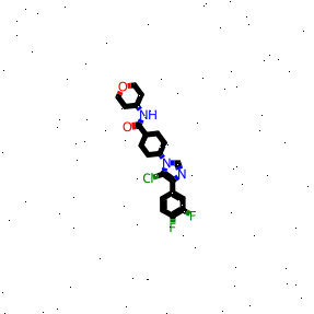 O=C(NC1CCOCC1)C1CCC(n2cnc(-c3ccc(F)c(F)c3)c2Cl)CC1